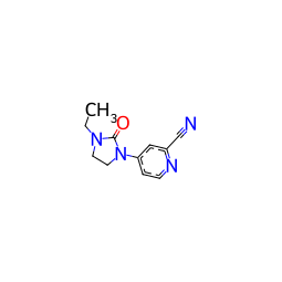 CCN1CCN(c2ccnc(C#N)c2)C1=O